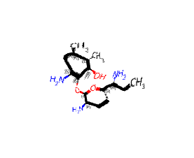 CC[C@@H](N)[C@@H]1CC[C@@H](N)[C@@H](O[C@H]2[C@H](O)[C@@H](C)[C@H](C)C[C@@H]2N)O1